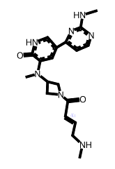 CNC/C=C/C(=O)N1CC(N(C)c2cc(-c3ccnc(NC)n3)c[nH]c2=O)C1